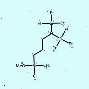 CC[Si](CC)(CC)N(CCC[Si](C)(C)OC)[Si](CC)(CC)CC